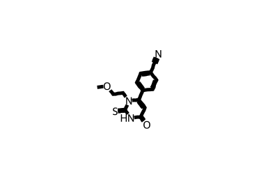 COCCn1c(-c2ccc(C#N)cc2)cc(=O)[nH]c1=S